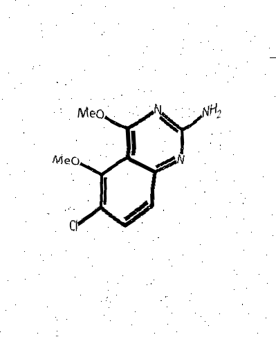 COc1nc(N)nc2ccc(Cl)c(OC)c12